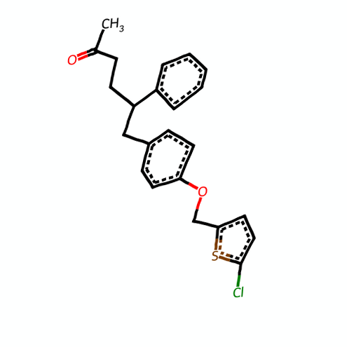 CC(=O)CCC(Cc1ccc(OCc2ccc(Cl)s2)cc1)c1ccccc1